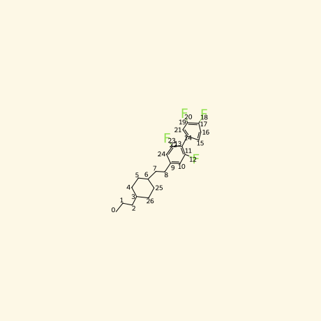 CCCC1CCC(CCc2cc(F)c(-c3ccc(F)c(F)c3)c(F)c2)CC1